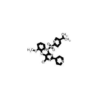 COc1ccccc1Oc1c(Cl)nc(-c2ccncc2)nc1NS(=O)(=O)c1ccc(C(C)C)cn1